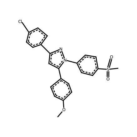 COc1ccc(-c2cc(-c3ccc(Cl)cc3)nn2-c2ccc(S(C)(=O)=O)cc2)cc1